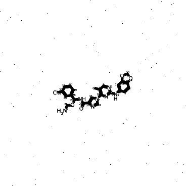 Cc1cnc(Nc2ccc3c(c2)OCO3)nc1-n1cnc(C(=O)NC(OCN)c2cccc(Cl)c2)c1